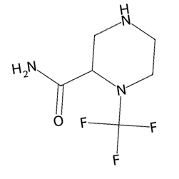 NC(=O)C1CNCCN1C(F)(F)F